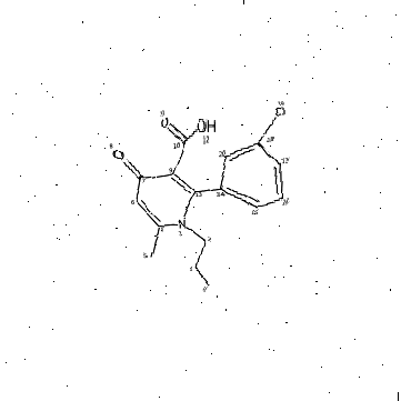 CCCn1c(C)cc(=O)c(C(=O)O)c1-c1cccc(Cl)c1